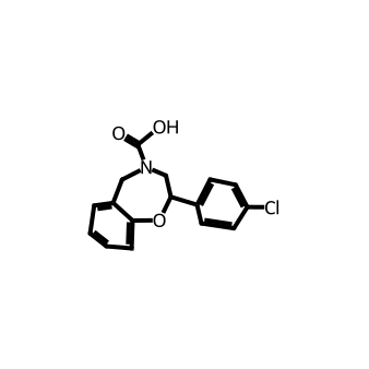 O=C(O)N1Cc2ccccc2OC(c2ccc(Cl)cc2)C1